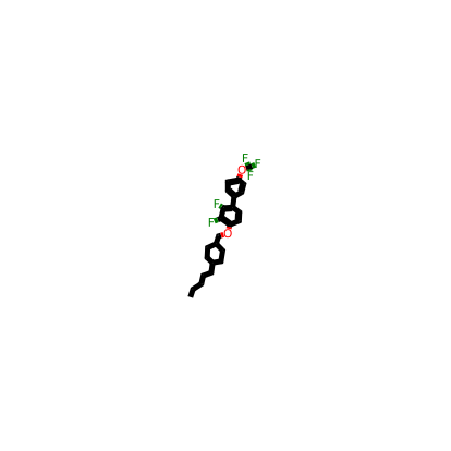 CCCCCC1CCC(COc2ccc(-c3ccc(OC(F)(F)F)cc3)c(F)c2F)CC1